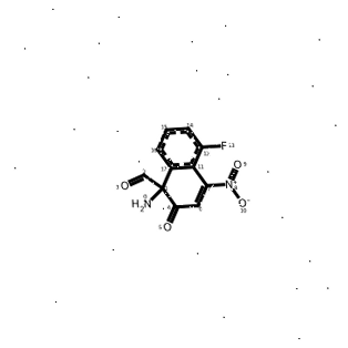 NC1(C=O)C(=O)C=C([N+](=O)[O-])c2c(F)cccc21